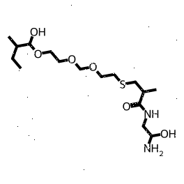 CCC(C)C(O)OCCOCOCCSCC(C)C(=O)NCC(N)O